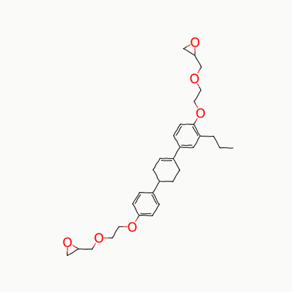 CCCc1cc(C2=CCC(c3ccc(OCCOCC4CO4)cc3)CC2)ccc1OCCOCC1CO1